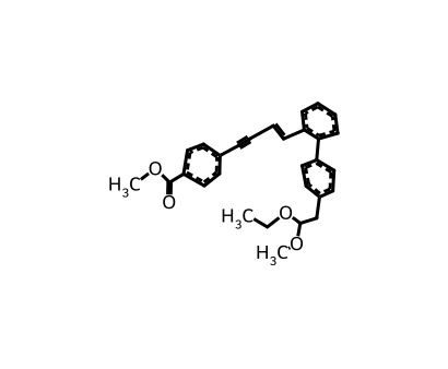 CCOC(Cc1ccc(-c2ccccc2/C=C/C#Cc2ccc(C(=O)OC)cc2)cc1)OC